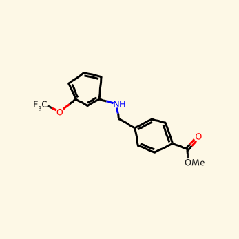 COC(=O)c1ccc(CNc2cccc(OC(F)(F)F)c2)cc1